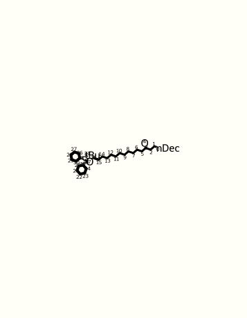 CCCCCCCCCCCCC(=O)CCCCCCCCCCCCO[Si](c1ccccc1)(c1ccccc1)C(C)(C)C